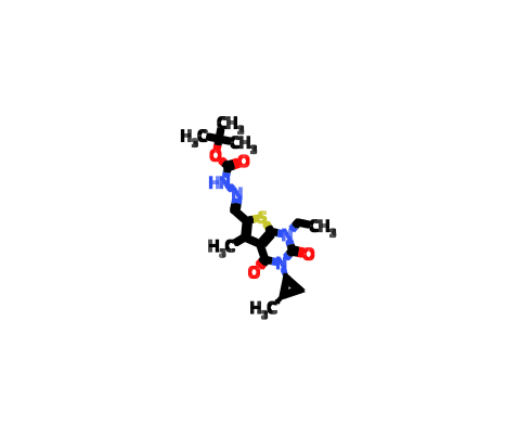 CCn1c(=O)n([C@H]2C[C@@H]2C)c(=O)c2c(C)c(/C=N/NC(=O)OC(C)(C)C)sc21